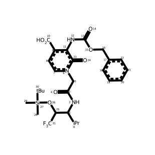 CC(C)C(NC(=O)Cn1ccc(C(=O)O)c(NC(=O)OCc2ccccc2)c1=O)C(O[Si](C)(C)C(C)(C)C)C(F)(F)F